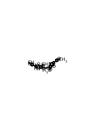 COc1ccc(C2=CN3C(=O)c4cc(OC)c(OCCCOc5cc6c(cc5OC)C(=O)N5C=C(c7ccc(OC)cc7)C[C@H]5C=N6)cc4N=CC3C2)cc1